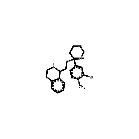 Cc1ccc(C2(CCC3NCCc4ccccc43)CCCCN2)cc1Cl